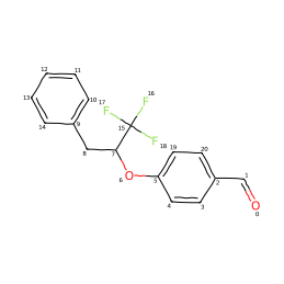 O=Cc1ccc(OC(Cc2ccccc2)C(F)(F)F)cc1